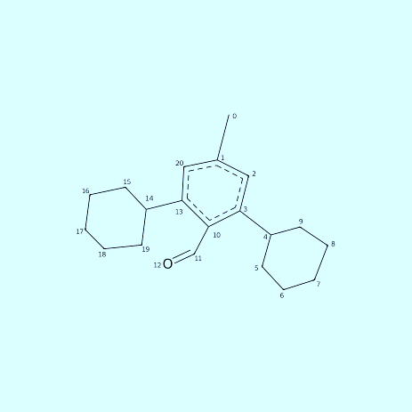 Cc1cc(C2CCCCC2)c(C=O)c(C2CCCCC2)c1